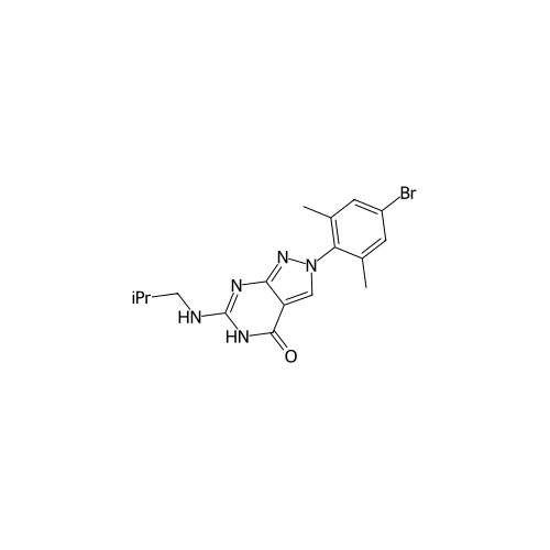 Cc1cc(Br)cc(C)c1-n1cc2c(=O)[nH]c(NCC(C)C)nc2n1